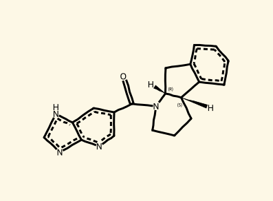 O=C(c1cnc2nc[nH]c2c1)N1CCC[C@H]2c3ccccc3C[C@H]21